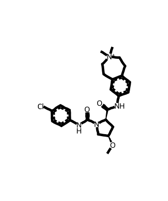 CO[C@@H]1C[C@H](C(=O)Nc2ccc3c(c2)CC[N+](C)(C)CC3)N(C(=O)Nc2ccc(Cl)cc2)C1